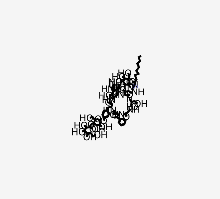 CCCCCCCCCC(=O)/N=C1/NCC(C(O)C2NC(=O)C(C(O)C3CNC(=N)N3)NC(=O)C(Cc3ccc(OC4OC(CO)C(OC5OC(CO)C(O)C(O)C5O)C(O)C4O)cc3)NC(=O)C(C(C)c3ccccc3)NC(=O)CNC(=O)C(CO)NC2=O)N1C1OC(CO)C(O)C(O)C1O